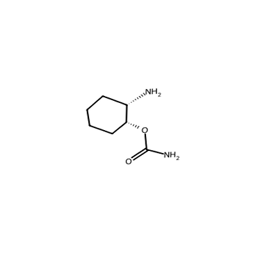 NC(=O)O[C@@H]1CCCC[C@@H]1N